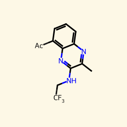 CC(=O)c1cccc2nc(C)c(NCC(F)(F)F)nc12